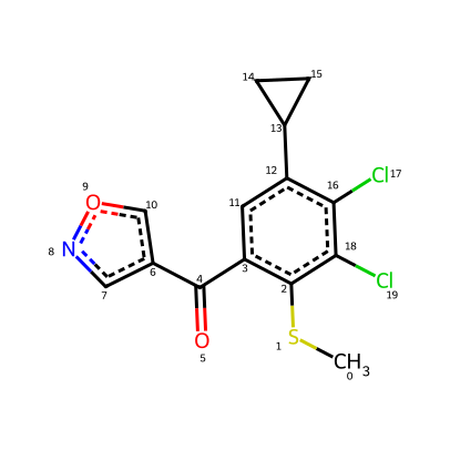 CSc1c(C(=O)c2cnoc2)cc(C2CC2)c(Cl)c1Cl